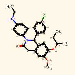 CCNc1ccc(N2C(=O)Cc3cc(OC)c(OC(C)CC)cc3C2c2ccc(Cl)cc2)cc1